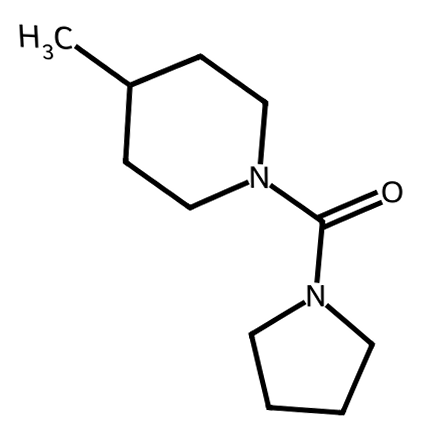 CC1CCN(C(=O)N2CCCC2)CC1